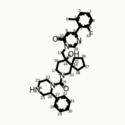 Cc1cccc(F)c1-c1cc(=O)n(CC2(O)CCN(C(=O)N3CCNCC3c3ccccc3)CC23CCCC3)cn1